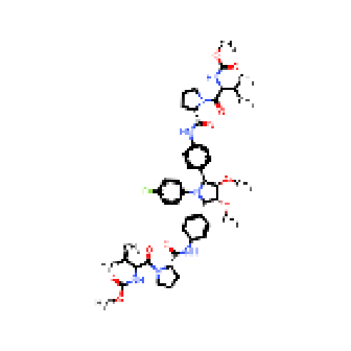 COC(=O)N[C@H](C(=O)N1CCC[C@H]1C(=O)Nc1ccc([C@H]2[C@@H](OC)[C@H](OC)[C@H](C3=CCC(NC(=O)[C@@H]4CCCN4C(=O)[C@@H](NC(=O)OC)C(C)C)C=C3)N2c2ccc(F)cc2)cc1)C(C)C